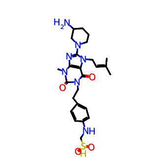 CC(C)=CCn1c(N2CCCC(N)C2)nc2c1c(=O)n(CCc1ccc(NC[SH](=O)=O)cc1)c(=O)n2C